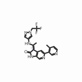 C/C(Nc1cnn(CC(F)(F)F)c1)=C1/C(=O)Nc2cnc(-c3cnccc3C)cc21